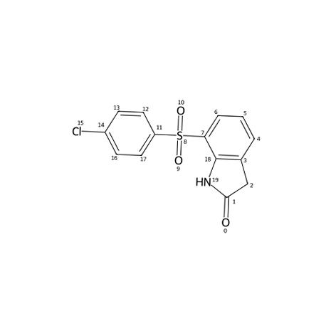 O=C1Cc2cccc(S(=O)(=O)c3ccc(Cl)cc3)c2N1